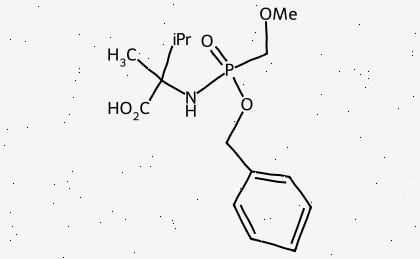 COCP(=O)(NC(C)(C(=O)O)C(C)C)OCc1ccccc1